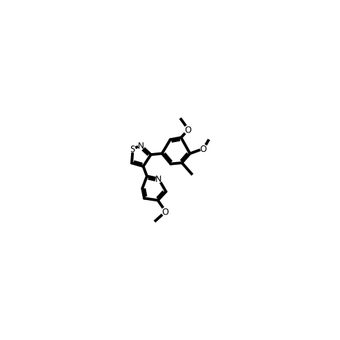 COc1ccc(-c2csnc2-c2cc(C)c(OC)c(OC)c2)nc1